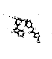 CCN1CCC(C(=O)NC2CCC(Nc3nc(Cl)cc(-c4c[nH]c5ncccc45)n3)CC2)C1